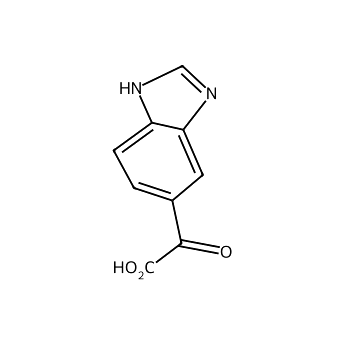 O=C(O)C(=O)c1ccc2[nH]cnc2c1